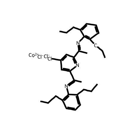 CCCc1cccc(CCC)c1N=C(C)c1cc(Cl)cc(C(C)=Nc2c(CCC)cccc2CCC)n1.[Cl-].[Cl-].[Co+2]